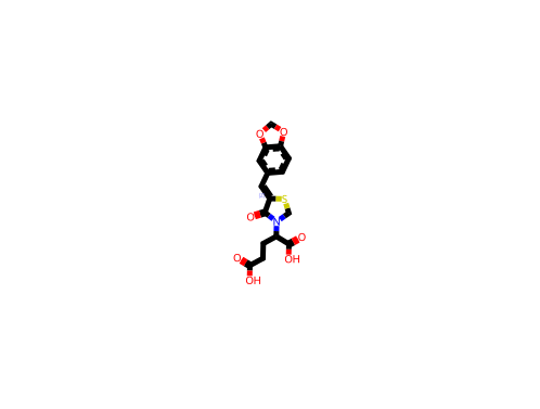 O=C(O)CCC(C(=O)O)N1CS/C(=C\c2ccc3c(c2)OCO3)C1=O